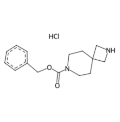 Cl.O=C(OCc1ccccc1)N1CCC2(CC1)CNC2